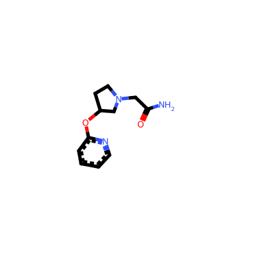 NC(=O)CN1CCC(Oc2ccccn2)C1